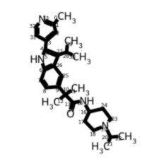 Cc1cc(-c2[nH]c3ccc(C(C)(C)C(=O)NC4CCN(C(C)C)CC4)cc3c2C(C)C)ccn1